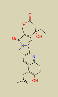 CCC1(O)CC(=O)OCc2c1cc1n(c2=O)Cc2cc3c(C[As](C)C)c(O)ccc3nc2-1